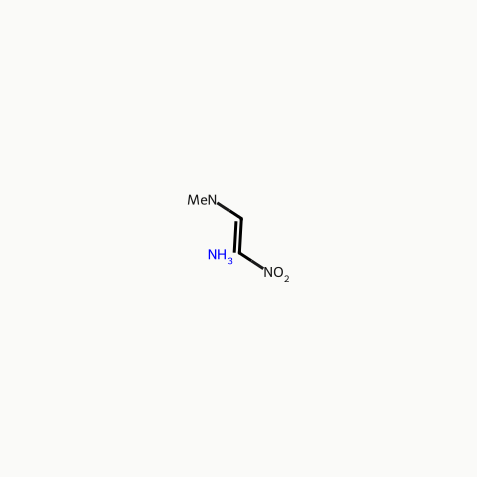 CNC=C[N+](=O)[O-].N